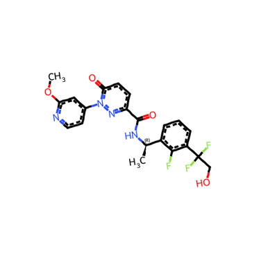 COc1cc(-n2nc(C(=O)N[C@H](C)c3cccc(C(F)(F)CO)c3F)ccc2=O)ccn1